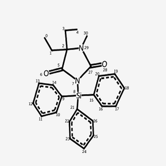 CCC1(CC)C(=O)N([Si](c2ccccc2)(c2ccccc2)c2ccccc2)C(=O)N1C